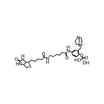 O=C(CCCCC1SCC2NC(=O)NC21)NCCCCCC(=O)Nc1ccc(OP(=O)(O)O)c(C[N+]23CCN(CC2)CC3)c1